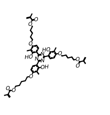 C=C(C)C(=O)OCCCCCOc1ccc(-c2nc(-c3ccc(OCCCCCOC(=O)C(=C)C)c(C)c3O)nc(-c3ccc(OCCCCCOC(=O)C(=C)C)c(C)c3O)n2)c(O)c1C